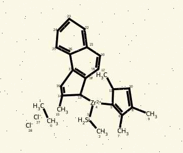 CC.C[SiH2][Zr+2]([C]1=C(C)C(C)=CC1C)[CH]1C(C)=Cc2c1ccc1ccccc21.[Cl-].[Cl-]